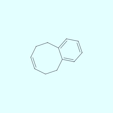 C1=C\CCc2ccccc2CC/1